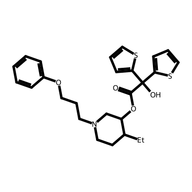 CCC1CCN(CCCOc2ccccc2)CC1OC(=O)C(O)(c1cccs1)c1cccs1